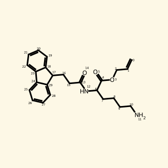 C=CCOC(=O)C(CCCCN)NC(=O)CCC1c2ccccc2-c2ccccc21